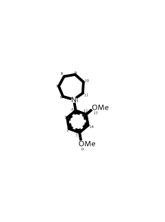 COc1ccc(N2CCCCCC2)c(OC)c1